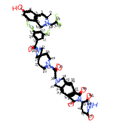 C[C@@H]1Cc2cc(O)ccc2[C@@H](c2c(F)cc(C(=O)N3CC4(CCN(C(=O)CN5Cc6cc7c(cc6C5)C(=O)N(C5CCC(=O)NC5=O)C7=O)CC4)C3)cc2F)N1CC(F)F